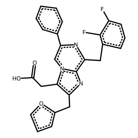 O=C(O)Cc1c(Cc2ccco2)nc2c(Cc3cccc(F)c3F)nc(-c3ccccc3)cn12